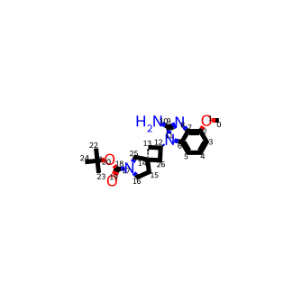 COc1cccc2c1nc(N)n2[C@H]1C[C@@]2(CCN(C(=O)OC(C)(C)C)C2)C1